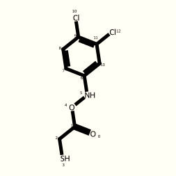 O=C(CS)ONc1ccc(Cl)c(Cl)c1